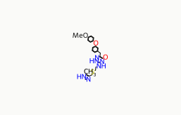 COc1ccc(Oc2cccc(Cc3n[nH]c(NCCSCc4nc[nH]c4C)nc3=O)c2)cc1